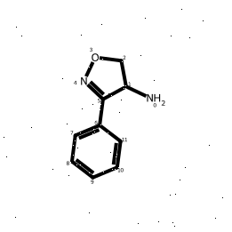 NC1CON=C1c1ccccc1